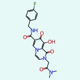 CN(C)C(=O)Cn1ccn2cc(C(=O)NCc3ccc(F)cc3)c(=O)c(O)c2c1=O